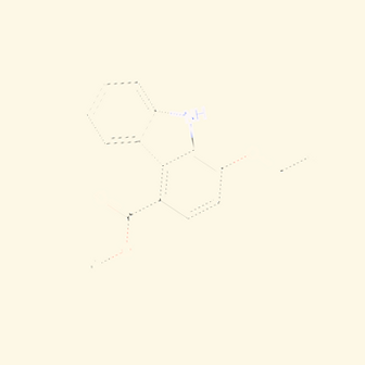 CCOc1ccc(C(=O)OC)c2c1[nH]c1ccccc12